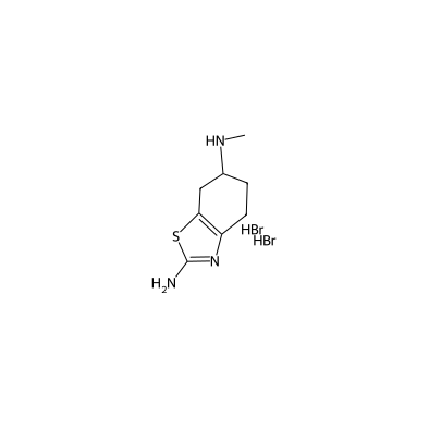 Br.Br.CNC1CCc2nc(N)sc2C1